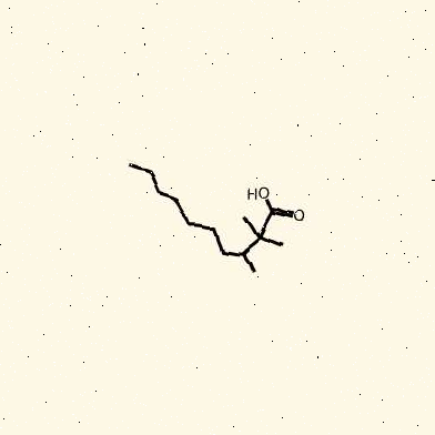 CCCCCCCC(C)C(C)(C)C(=O)O